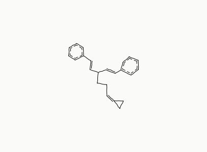 C(=CC(C=Cc1ccccc1)CCC=C1CC1)c1ccccc1